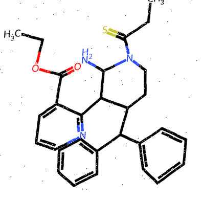 CCOC(=O)c1cccnc1C1C(C(c2ccccc2)c2ccccc2)CCN(C(=S)CC)C1N